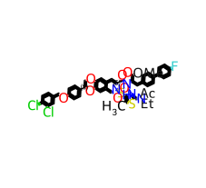 CCN(C(C)=O)c1nc(S(=O)(=O)N2Cc3cc4c(cc3C[C@H]2C(=O)NC(Cc2ccc(-c3ccc(F)cc3)cc2)C(=O)OC)OC[C@H](c2ccc(OCc3ccc(Cl)c(Cl)c3)cc2)O4)c(C)s1